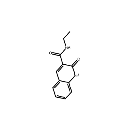 CCNC(=O)c1cc2ccccc2[nH]c1=O